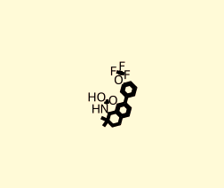 CC1(C)CCc2ccc(-c3cccc(OC(F)(F)F)c3)cc2[C@H]1NC(=O)O